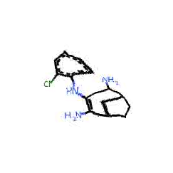 NC1=C(Nc2ccccc2Cl)C(N)C2CCC1C2